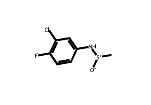 C[S+]([O-])Nc1ccc(F)c(Cl)c1